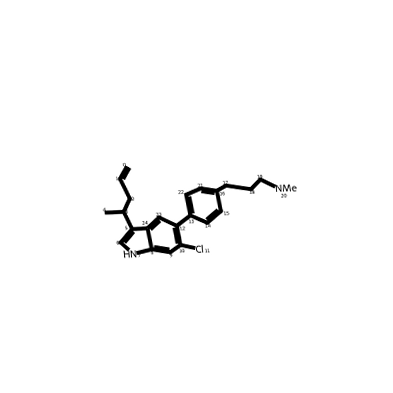 C=CCC(C)c1c[nH]c2cc(Cl)c(-c3ccc(CCCNC)cc3)cc12